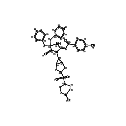 CCN1CCN(S(=O)(=O)N2CC3C(C2)C3N2C(=O)C(Cc3ccncc3)(Cc3ccncc3)NC2=CC(=O)c2ccc(C#N)cc2)CC1